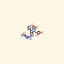 COc1ccc(CN(Cc2ccc(OC)cc2OC)c2nc(-c3cnccc3C)cc3cc(Nc4cnn(C(C)(C)C(=O)N(C)C)c4)ncc23)c(OC)c1